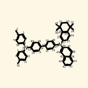 Cc1ccc(N(c2ccc(C)cc2)c2ccc(-c3ccc(N(c4ccc5c(c4)C(C)(C)CCC5(C)C)c4ccc5ccccc5c4)cc3)cc2)cc1